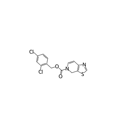 O=C(OCc1ccc(Cl)cc1Cl)N1C=Cc2ncsc2C1